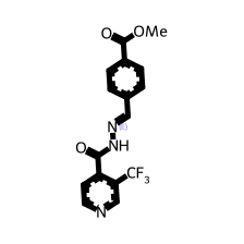 COC(=O)c1ccc(/C=N/NC(=O)c2ccncc2C(F)(F)F)cc1